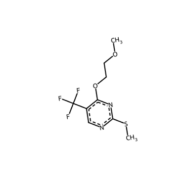 COCCOc1nc(SC)ncc1C(F)(F)F